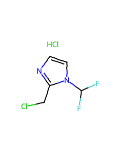 Cl.FC(F)n1ccnc1CCl